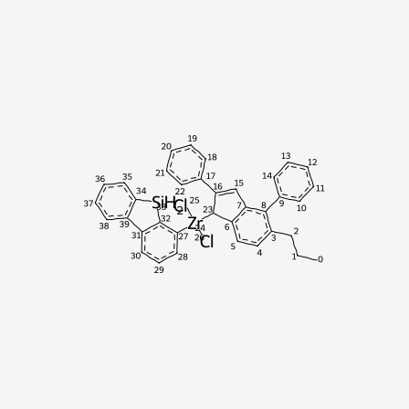 CCCc1ccc2c(c1-c1ccccc1)C=C(c1ccccc1)[CH]2[Zr]([Cl])([Cl])[c]1cccc2c1[SiH2]c1ccccc1-2